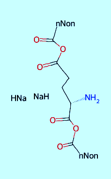 CCCCCCCCCC(=O)OC(=O)CC[C@H](N)C(=O)OC(=O)CCCCCCCCC.[NaH].[NaH]